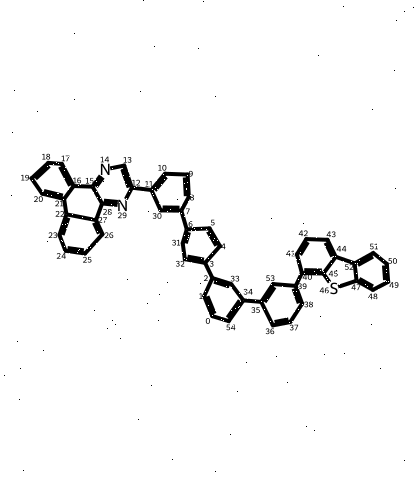 c1cc(-c2ccc(-c3cccc(-c4cnc5c6ccccc6c6ccccc6c5n4)c3)cc2)cc(-c2cccc(-c3cccc4c3sc3ccccc34)c2)c1